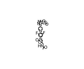 CC(=O)NCC1CN(c2cc(F)c(N3CCC(n4nnnc4CS(C)(=O)=O)CC3)c(F)c2)C(=O)O1